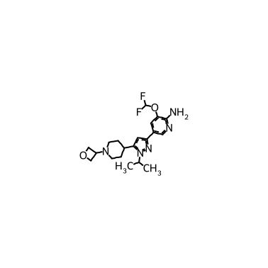 CC(C)n1nc(-c2cnc(N)c(OC(F)F)c2)cc1C1CCN(C2COC2)CC1